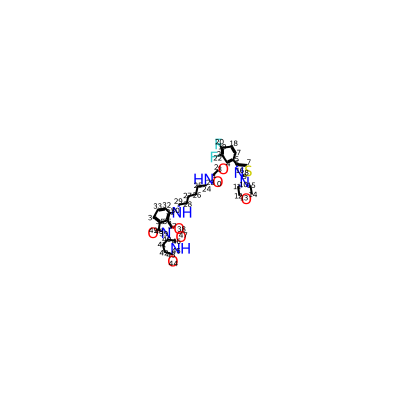 O=C(COc1c(-c2csc(N3CCOCC3)n2)ccc(F)c1F)NCCCCCCNc1cccc2c1C(=O)N(C1CCC(=O)NC1=O)C2=O